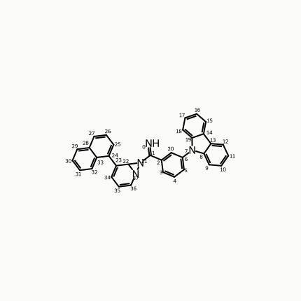 N=C(c1cccc(-n2c3ccccc3c3ccccc32)c1)N1C2C(c3cccc4ccccc34)=CC=CN21